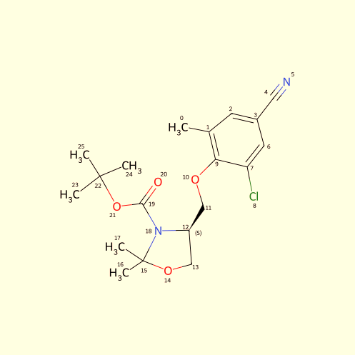 Cc1cc(C#N)cc(Cl)c1OC[C@H]1COC(C)(C)N1C(=O)OC(C)(C)C